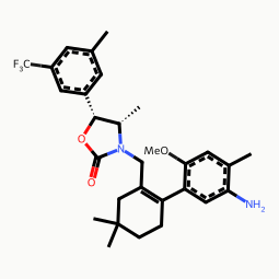 COc1cc(C)c(N)cc1C1=C(CN2C(=O)O[C@H](c3cc(C)cc(C(F)(F)F)c3)[C@@H]2C)CC(C)(C)CC1